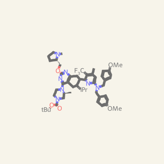 COc1ccc(CN(Cc2ccc(OC)cc2)c2cc(C)c(C(F)(F)F)c(C3Cc4nc(OC[C@@H]5CCCN5C)nc(N5CCN(C(=O)OC(C)(C)C)C[C@@H]5C)c4CC3C(C)C)n2)cc1